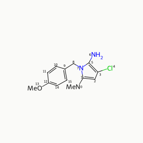 CNc1cc(Cl)c(N)n1Cc1ccc(OC)cc1